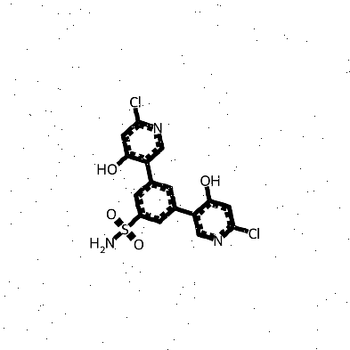 NS(=O)(=O)c1cc(-c2cnc(Cl)cc2O)cc(-c2cnc(Cl)cc2O)c1